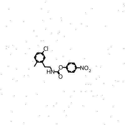 Cc1ccc(Cl)cc1CCNC(=O)Oc1ccc([N+](=O)[O-])cc1